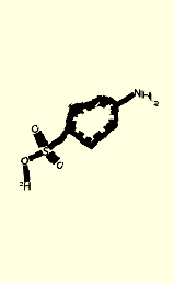 [2H]OS(=O)(=O)c1ccc(N)cc1